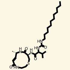 CCCCCCCCCCCCNC(=O)NC(C(=O)N[C@H]1CSCCNC(=O)/C=C/[C@H](C)NC1=O)C(C)C